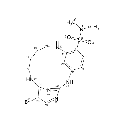 CN(C)S(=O)(=O)c1ccc2cc1NCCCCNc1nc(ncc1Br)N2